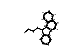 CCCCC1c2ccccc2-c2ccc3ccccc3c21